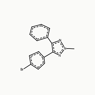 Cn1nc(-c2ccccc2)c(-c2ccc(Br)cc2)n1